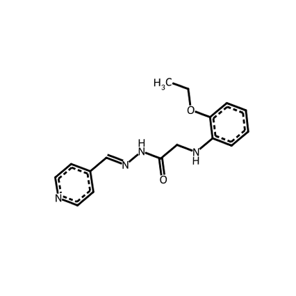 CCOc1ccccc1NCC(=O)N/N=C/c1ccncc1